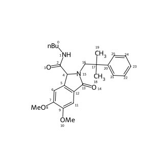 CCCCNC(=O)C1c2cc(OC)c(OC)cc2C(=O)N1CC(C)(C)c1ccccc1